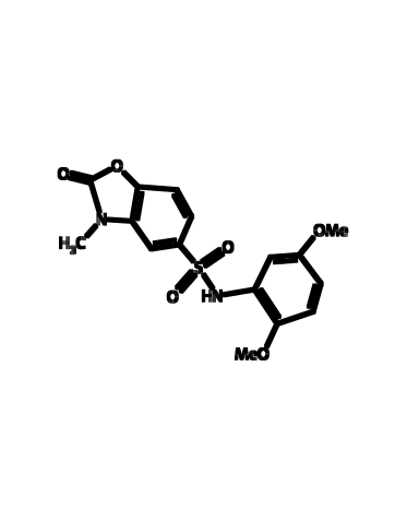 COc1ccc(OC)c(NS(=O)(=O)c2ccc3oc(=O)n(C)c3c2)c1